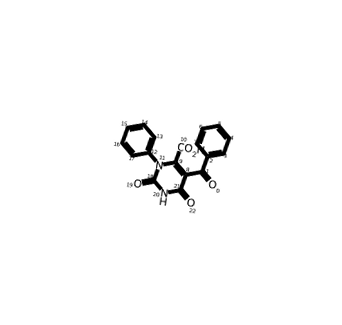 O=C(c1ccccc1)c1c(C(=O)O)n(-c2ccccc2)c(=O)[nH]c1=O